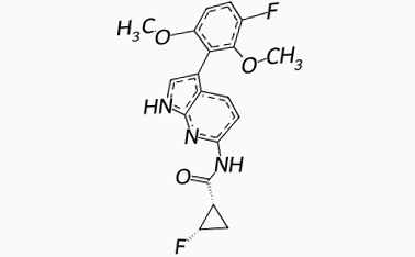 COc1ccc(F)c(OC)c1-c1c[nH]c2nc(NC(=O)[C@@H]3C[C@@H]3F)ccc12